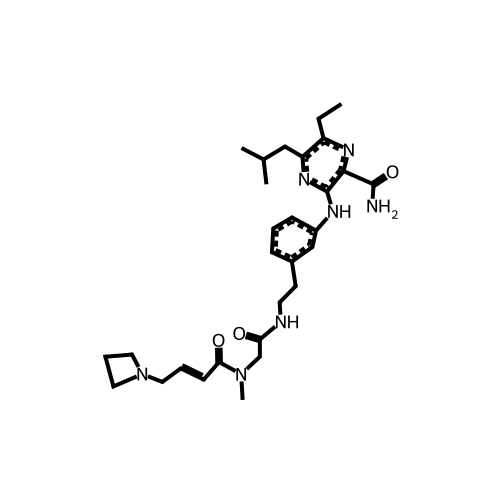 CCc1nc(C(N)=O)c(Nc2cccc(CCNC(=O)CN(C)C(=O)C=CCN3CCC3)c2)nc1CC(C)C